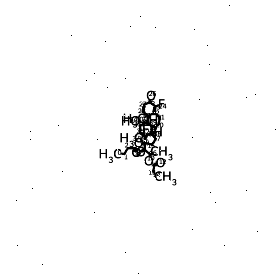 CCCC(=O)O[C@]1(C(=O)COC(=O)CC)C(C)C[C@H]2[C@@H]3CCC4=C(F)C(=O)C=C[C@]4(C)[C@@]3(F)C(O)C[C@@]21C